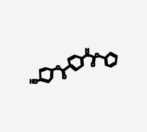 O=C(Nc1ccc(C(=O)Oc2ccc(O)cc2)cc1)Oc1ccccc1